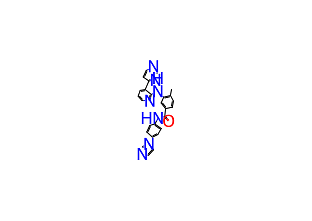 Cc1ccc(C(=O)Nc2ccc(-n3ccnc3)cc2)cc1Nc1ncccc1-c1ccncn1